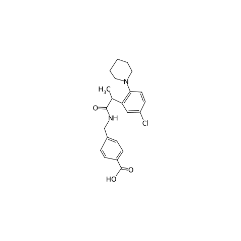 CC(C(=O)NCc1ccc(C(=O)O)cc1)c1cc(Cl)ccc1N1CCCCC1